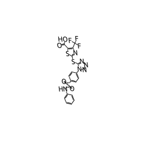 O=C(O)c1sc(Sc2nnnn2-c2ccc(S(=O)(=O)Nc3ccccc3)cc2)nc1C(F)(F)F